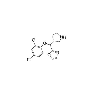 Clc1ccc(O[C@H](c2ncco2)[C@@H]2CCNC2)c(Cl)c1